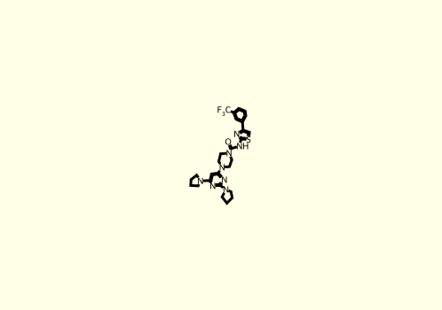 O=C(Nc1nc(-c2cccc(C(F)(F)F)c2)cs1)N1CCN(c2cc(N3CCCC3)nc(N3CCCC3)n2)CC1